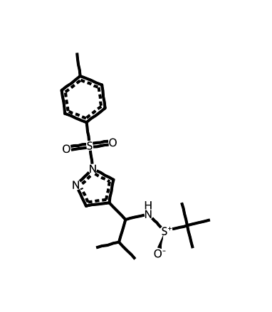 Cc1ccc(S(=O)(=O)n2cc(C(N[S@+]([O-])C(C)(C)C)C(C)C)cn2)cc1